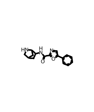 O=C(NC1CC2CNC1C2)c1ncc(-c2ccccc2)o1